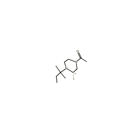 CCC(C)(C)N1CCN(C(C)=O)C[C@@H]1C